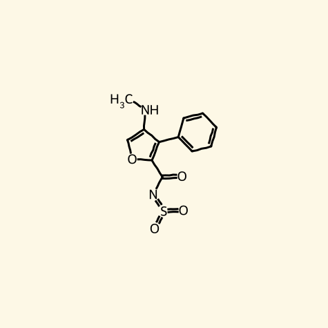 CNc1coc(C(=O)N=S(=O)=O)c1-c1ccccc1